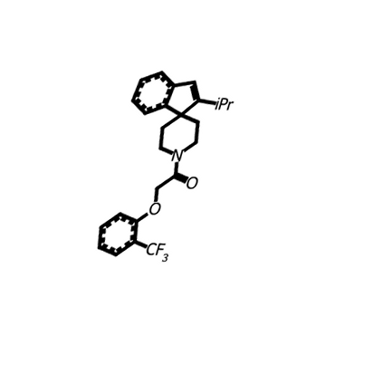 CC(C)C1=Cc2ccccc2C12CCN(C(=O)COc1ccccc1C(F)(F)F)CC2